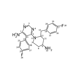 Nc1ncnc(N2CCC(N)CC2Cc2ccc(F)cc2)c1-c1ccc(F)cc1